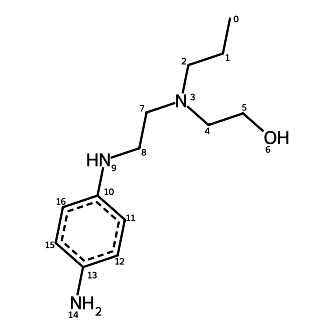 CCCN(CCO)CCNc1ccc(N)cc1